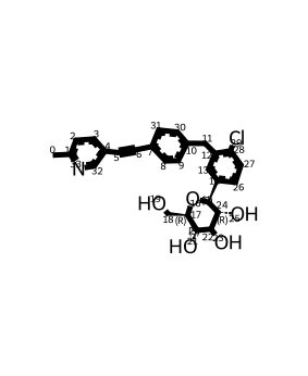 Cc1ccc(C#Cc2ccc(Cc3cc([C@@H]4O[C@H](CO)[C@@H](O)C(O)[C@H]4O)ccc3Cl)cc2)cn1